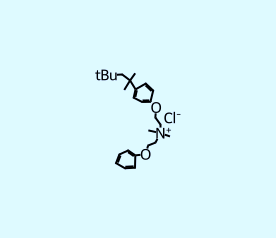 CC(C)(C)CC(C)(C)c1ccc(OCC[N+](C)(C)CCOc2ccccc2)cc1.[Cl-]